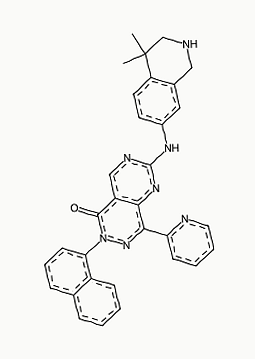 CC1(C)CNCc2cc(Nc3ncc4c(=O)n(-c5cccc6ccccc56)nc(-c5ccccn5)c4n3)ccc21